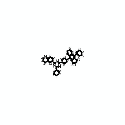 c1ccc(-c2nc(-c3ccc(-c4c5ccccc5c(-c5ccccc5)c5ccccc45)cc3)nc(-c3ccc4ncccc4c3)n2)cc1